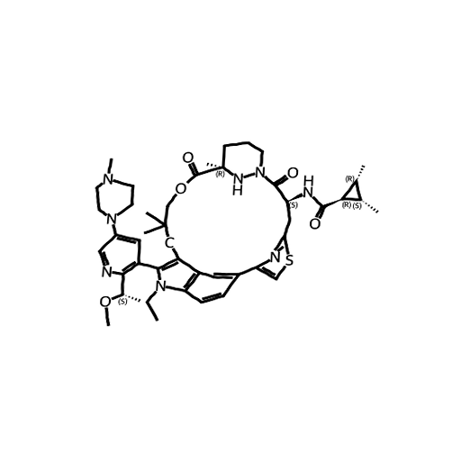 CCn1c(-c2cc(N3CCN(C)CC3)cnc2[C@H](C)OC)c2c3cc(ccc31)-c1csc(n1)C[C@H](NC(=O)[C@H]1[C@H](C)[C@@H]1C)C(=O)N1CCC[C@@](C)(N1)C(=O)OCC(C)(C)C2